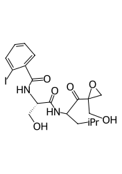 CC(C)CC(NC(=O)[C@H](CO)NC(=O)c1ccccc1I)C(=O)C1(CO)CO1